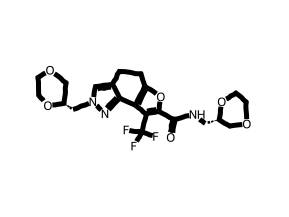 O=C(NC[C@H]1COCCO1)c1oc2c(c1C(F)(F)F)-c1nn(C[C@H]3COCCO3)cc1CC2